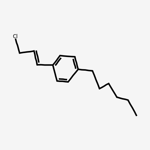 CCCCCCc1ccc(/C=C/CCl)cc1